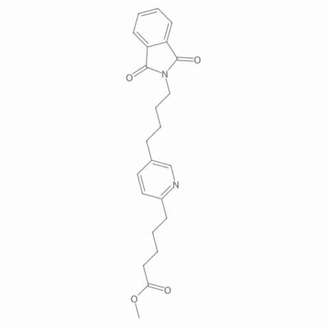 COC(=O)CCCCc1ccc(CCCCN2C(=O)c3ccccc3C2=O)cn1